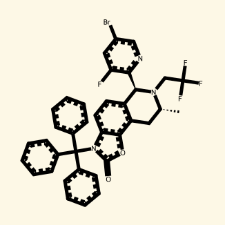 C[C@@H]1Cc2c(ccc3c2oc(=O)n3C(c2ccccc2)(c2ccccc2)c2ccccc2)[C@@H](c2ncc(Br)cc2F)N1CC(F)(F)F